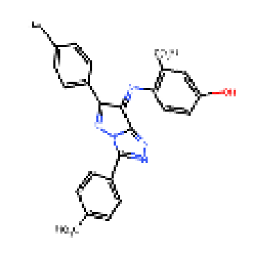 CCOC(=O)c1cc(O)ccc1N=C1C(c2ccc(C(C)(C)C)cc2)=Nn2c1nnc2-c1ccc(C(=O)O)cc1